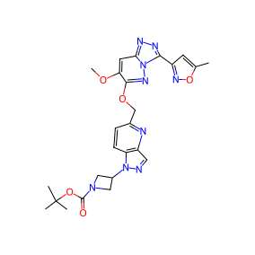 COc1cc2nnc(-c3cc(C)on3)n2nc1OCc1ccc2c(cnn2C2CN(C(=O)OC(C)(C)C)C2)n1